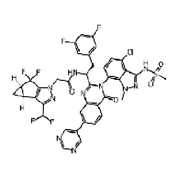 Cn1nc(NS(C)(=O)=O)c2c(Cl)ccc(-n3c([C@H](Cc4cc(F)cc(F)c4)NC(=O)Cn4nc(C(F)F)c5c4C(F)(F)[C@@H]4C[C@H]54)nc4cc(-c5cncnc5)ccc4c3=O)c21